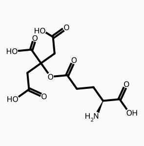 N[C@@H](CCC(=O)OC(CC(=O)O)(CC(=O)O)C(=O)O)C(=O)O